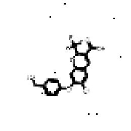 O=C(O)C1=Cc2cc(Cl)c(Oc3ccc(CO)cc3)cc2OC1C(F)(F)F